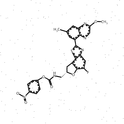 COc1cnc2c(-c3nc4cc(F)c5c(c4s3)C[C@@H](CNC(=O)Oc3ccc([N+](=O)[O-])cc3)O5)cc(C)cc2n1